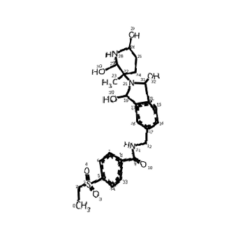 CCS(=O)(=O)c1ccc(C(=O)NCc2ccc3c(c2)C(O)N(C2(C)CCC(O)NC2O)C3O)cc1